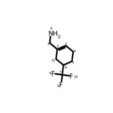 NCC1=CCCC(C(F)(F)F)C1